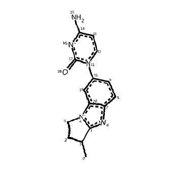 CC1CCn2c1nc1ccc(-n3ccc(N)nc3=O)cc12